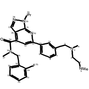 CNCCN(C)Cc1cccc(-c2cc(C(=O)N(C)Cc3ccccc3F)c3cnn(C(C)C)c3n2)c1